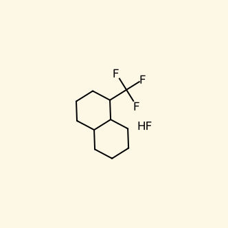 F.FC(F)(F)C1CCCC2CCCCC21